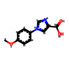 COc1ccc(-n2cnc(C(=O)O)c2)cc1